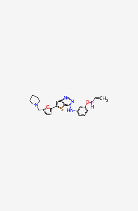 C=CPOc1cccc(Nc2ncnc3cc(-c4ccc(CN5CCCCC5)o4)sc23)c1